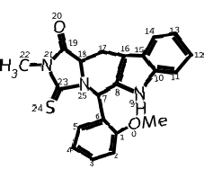 COc1ccccc1C1c2[nH]c3ccccc3c2CC2C(=O)N(C)C(=S)N21